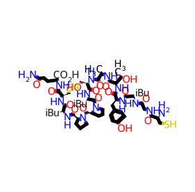 CC[C@H](C)[C@H](NC(=O)CNC(=O)[C@@H](N)CS)C(=O)N[C@@H](Cc1ccc(O)cc1)C(=O)N[C@H](C(=O)N[C@@H](C)C(=O)N[C@@H](CO)C(=O)N[C@H](C(=O)N1CCC[C@H]1C(=O)N1CCC[C@H]1C(=O)N[C@H](C(=O)N[C@@H](CS)C(=O)N[C@@H](CCC(N)=O)C(=O)O)[C@@H](C)CC)[C@@H](C)CC)[C@@H](C)O